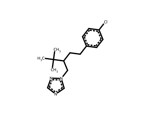 CC(C)(C)[C](CCc1ccc(Cl)cc1)Cn1cncn1